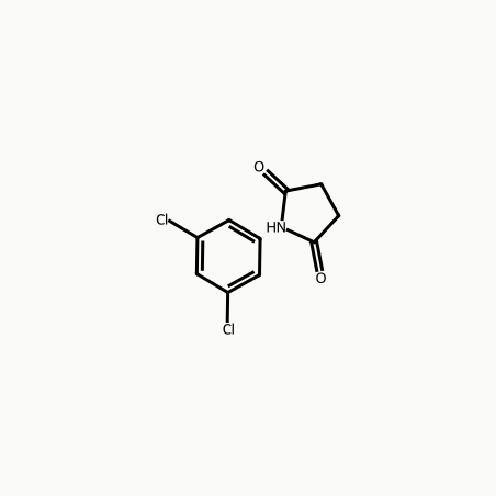 Clc1cccc(Cl)c1.O=C1CCC(=O)N1